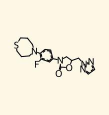 O=C1OC(Cn2nccn2)CN1c1ccc(N2CCCSCCC2)c(F)c1